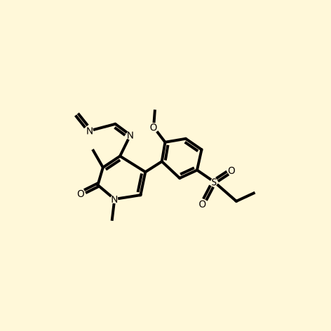 C=N/C=N\c1c(-c2cc(S(=O)(=O)CC)ccc2OC)cn(C)c(=O)c1C